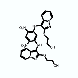 O=[N+]([O-])c1cc([N+](=O)[O-])c(Nc2c(OCCO)nn3ccccc23)cc1Nc1c(OCCO)nn2ccccc12